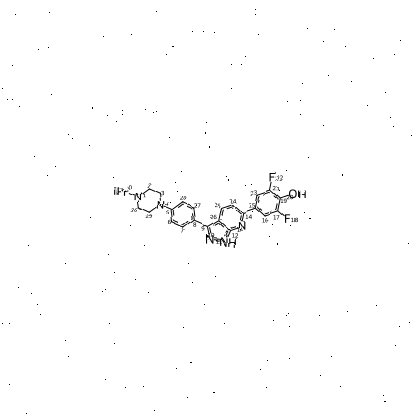 CC(C)N1CCN(c2ccc(-c3n[nH]c4nc(-c5cc(F)c(O)c(F)c5)ccc34)cc2)CC1